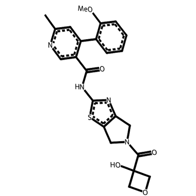 COc1ccccc1-c1cc(C)ncc1C(=O)Nc1nc2c(s1)CN(C(=O)C1(O)COC1)C2